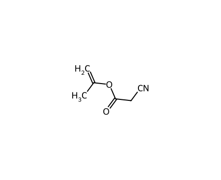 C=C(C)OC(=O)CC#N